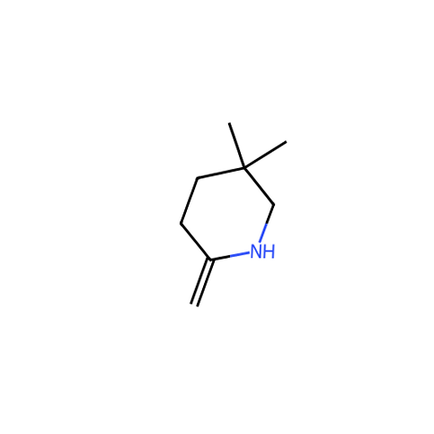 C=C1CCC(C)(C)CN1